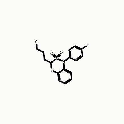 O=S1(=O)C(CCCCl)Sc2ccccc2N1c1ccc(F)cc1